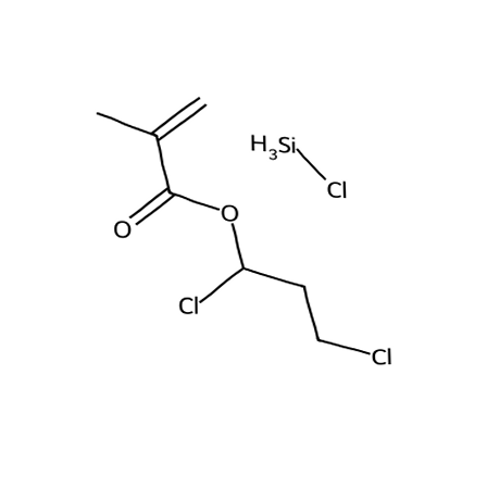 C=C(C)C(=O)OC(Cl)CCCl.[SiH3]Cl